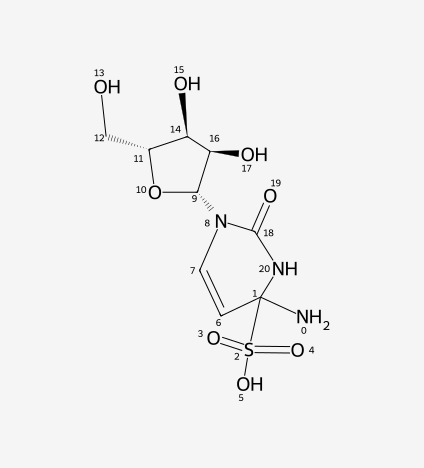 NC1(S(=O)(=O)O)C=CN([C@@H]2O[C@H](CO)[C@@H](O)[C@H]2O)C(=O)N1